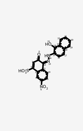 O=C1C=C(S(=O)(=O)O)c2cc([N+](=O)[O-])ccc2/C1=N/Nc1ccc2ccccc2c1O